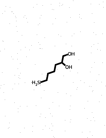 OCC(O)CCCC[SiH2]